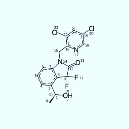 C[C@H](O)c1cccc2c1C(F)(F)C(=O)N2Cc1ncc(Cl)cc1Cl